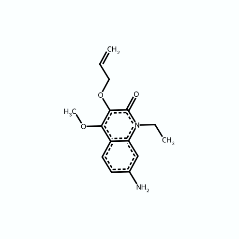 C=CCOc1c(OC)c2ccc(N)cc2n(CC)c1=O